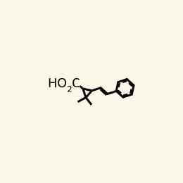 CC1(C)C(C=Cc2ccccc2)C1C(=O)O